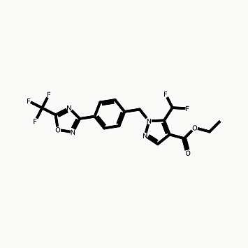 CCOC(=O)c1cnn(Cc2ccc(-c3noc(C(F)(F)F)n3)cc2)c1C(F)F